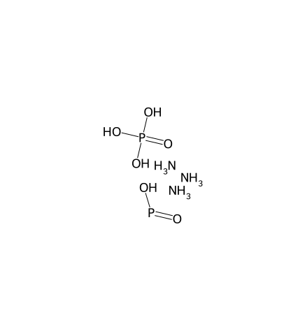 N.N.N.O=P(O)(O)O.O=PO